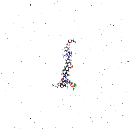 COC[C@@H]1CC[C@H](c2ncc(-c3ccc4c(c3)COc3cc5c6c(ccc5cc3-4)N=C([C@@H]3C[C@H](COC(F)F)CN3C(=O)OC(C)(C)C)C6)[nH]2)C1